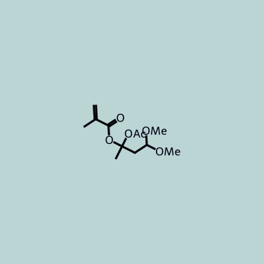 C=C(C)C(=O)OC(C)(CC(OC)OC)OC(C)=O